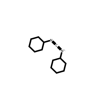 C(=NC1CCCCC1)=[N+]C1CCCCC1